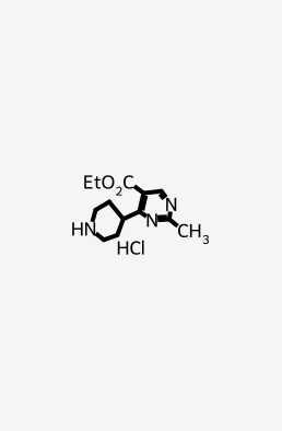 CCOC(=O)c1cnc(C)nc1C1CCNCC1.Cl